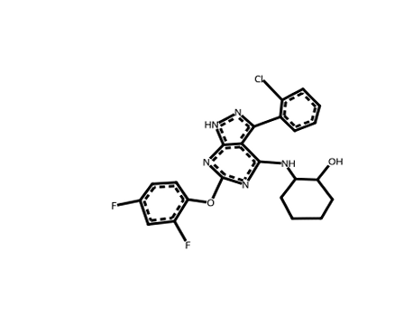 OC1CCCCC1Nc1nc(Oc2ccc(F)cc2F)nc2[nH]nc(-c3ccccc3Cl)c12